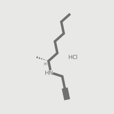 C#CCN[C@H](C)CCCCC.Cl